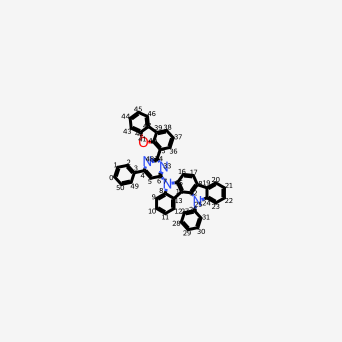 c1ccc(-c2cc(-n3c4ccccc4c4c3ccc3c5ccccc5n(-c5ccccc5)c34)nc(-c3cccc4c3oc3ccccc34)n2)cc1